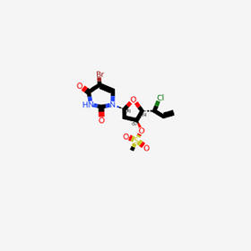 C=CC(Cl)[C@H]1O[C@@H](n2cc(Br)c(=O)[nH]c2=O)C[C@@H]1OS(C)(=O)=O